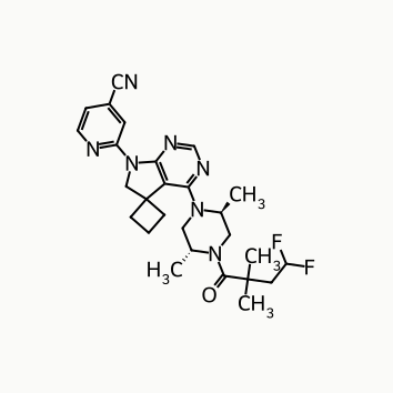 C[C@@H]1CN(c2ncnc3c2C2(CCC2)CN3c2cc(C#N)ccn2)[C@@H](C)CN1C(=O)C(C)(C)CC(F)F